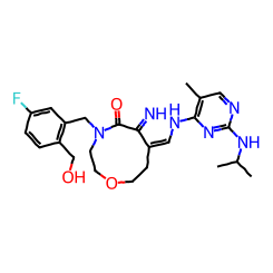 Cc1cnc(NC(C)C)nc1N/C=C1/CCOCCN(Cc2cc(F)ccc2CO)C(=O)C1=N